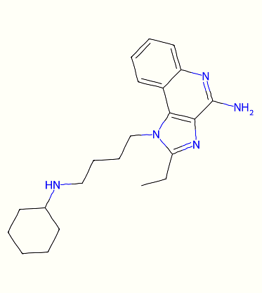 CCc1nc2c(N)nc3ccccc3c2n1CCCCNC1CCCCC1